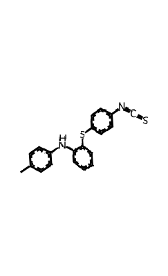 Cc1ccc(Nc2ccccc2Sc2ccc(N=C=S)cc2)cc1